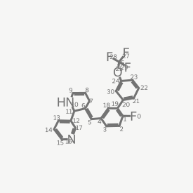 Fc1ccc(C=C2CC=CNC2c2cccnc2)cc1-c1cccc(OC(F)(F)F)c1